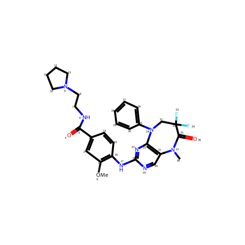 COc1cc(C(=O)NCCN2CCCC2)ccc1Nc1ncc2c(n1)N(c1ccccc1)CC(F)(F)C(=O)N2C